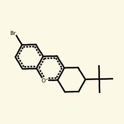 CC(C)(C)C1CCc2[o+]c3ccc(Br)cc3cc2C1